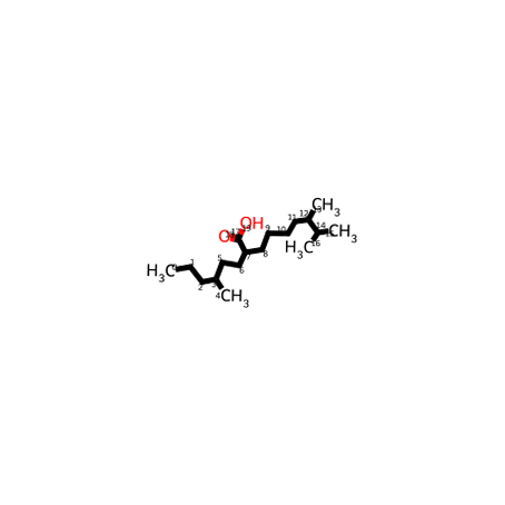 CCCC(C)CCC(CCCCC(C)C(C)C)C(=O)O